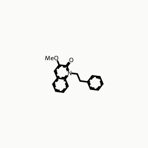 COc1cc2ccccc2n(CCc2ccccc2)c1=O